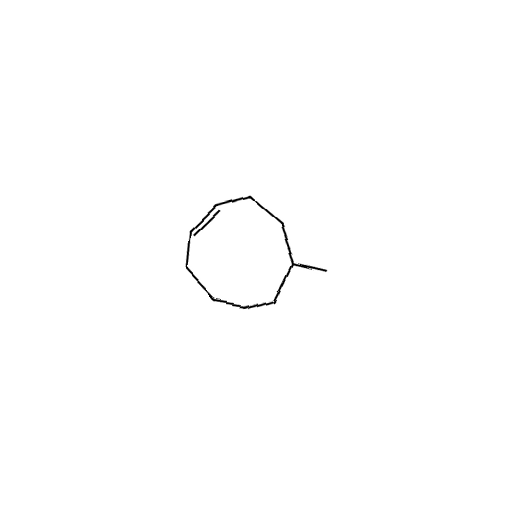 CC1CCC=CCCCC1